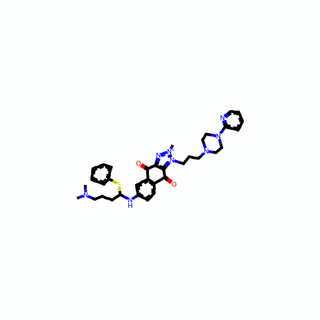 CN(C)CCCC(Nc1ccc2c(c1)C(=O)c1n[n+](C)n(CCCN3CCN(c4ccccn4)CC3)c1C2=O)Sc1ccccc1